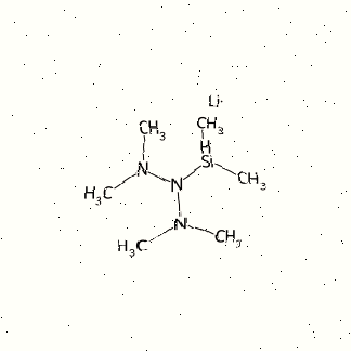 CN(C)N(N(C)C)[SiH](C)C.[Li]